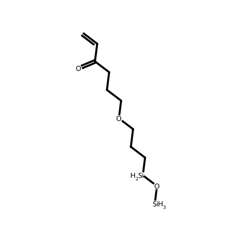 C=CC(=O)CCCOCCC[SiH2]O[SiH3]